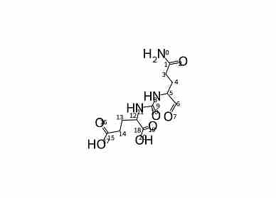 NC(=O)CCC(C=O)NC(=O)NC(CCC(=O)O)C(=O)O